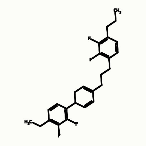 CCCc1ccc(CCCC2=CCC(c3ccc(CC)c(F)c3F)C=C2)c(F)c1F